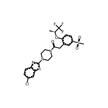 C[C@H](Oc1ccc(S(C)(=O)=O)cc1CC(=O)N1CCN(c2nc3ccc(Cl)cc3s2)CC1)C(F)(F)F